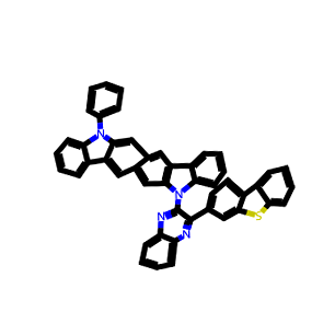 c1ccc(-n2c3ccccc3c3cc4cc5c(cc4cc32)c2ccccc2n5-c2nc3ccccc3nc2-c2ccc3c(c2)sc2ccccc23)cc1